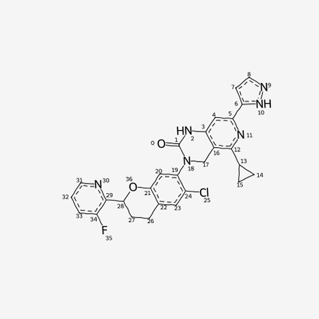 O=C1Nc2cc(-c3ccn[nH]3)nc(C3CC3)c2CN1c1cc2c(cc1Cl)CCC(c1ncccc1F)O2